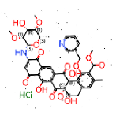 COC(=O)c1c(C)cc2c(c1OCc1cccnc1)[C@]1(O)C(=O)c3cc4c(c(O)c3C(=O)[C@]1(OC)[C@H](O)C2)C(=O)C=C(N[C@H]1O[C@@H](C)[C@H](OC)[C@@H](O)[C@H]1OC)C4=O.Cl